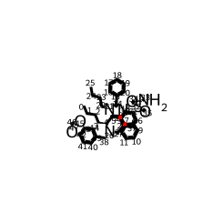 CCCC[C@@H](c1c(-c2ccccc2)nc(-c2ccccc2)n1CCCC)N(Cc1ccc(S(N)(=O)=O)cc1)Cc1ccc2c(c1)OCO2